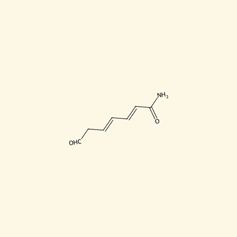 NC(=O)C=CC=CCC=O